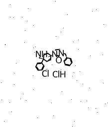 Cl.NC[C@]1(c2cccc(Cl)c2)CC[C@H](N2CCN(Cc3ccccc3)C2=O)CC1